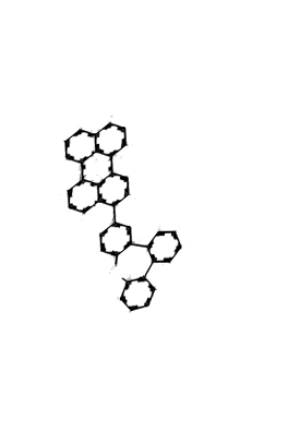 c1ccc2c(c1)Oc1ccc(-c3ccc4c5cccc6cccc(c7cccc3c74)c65)cc1-c1ccccc1-2